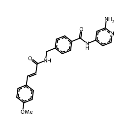 COc1ccc(C=CC(=O)NCc2ccc(C(=O)Nc3ccnc(N)c3)cc2)cc1